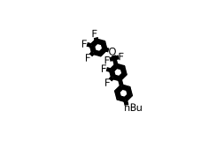 CCCCc1ccc(-c2ccc(C(F)(F)Oc3cc(F)c(F)c(F)c3)c(F)c2F)cc1